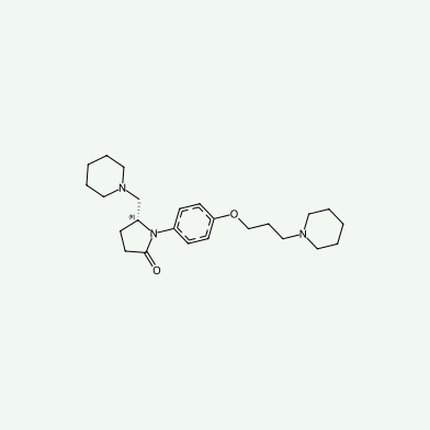 O=C1CC[C@H](CN2CCCCC2)N1c1ccc(OCCCN2CCCCC2)cc1